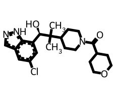 CC(C)(C1CCN(C(=O)C2CCOCC2)CC1)[C@H](O)c1cc(Cl)cc2cn[nH]c12